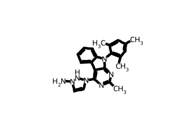 Cc1cc(C)c(-n2c3ccccc3c3c(N4C=CN(N)N4)nc(C)nc32)c(C)c1